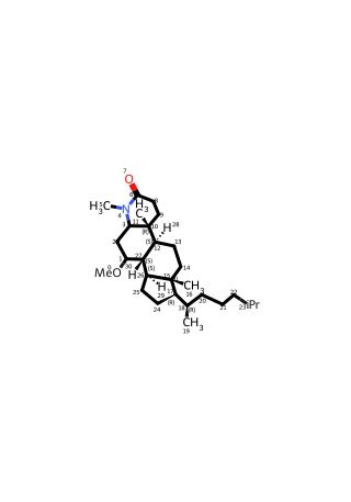 COC1CC2N(C)C(=O)CC[C@]2(C)[C@H]2CC[C@]3(C)[C@@H]([C@H](C)CCCC(C)C)CC[C@H]3[C@H]12